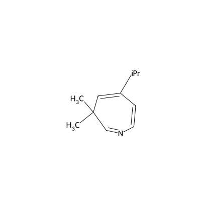 CC(C)C1=CC(C)(C)C=NC=C1